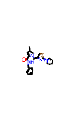 Cc1cc(C(=O)NCc2ccccc2)n(Cc2csc(N3CCCCC3)n2)c1